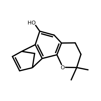 CC1(C)CCc2cc(O)c3c(c2O1)C1C=CC3C1